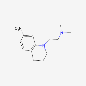 CN(C)CCN1CCCc2ccc([N+](=O)[O-])cc21